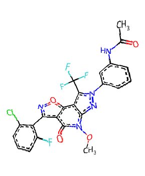 COn1c(=O)c2c(-c3c(F)cccc3Cl)noc2c2c(C(F)(F)F)n(-c3cccc(NC(C)=O)c3)nc21